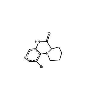 O=C1Nc2cncc(Br)c2N2CCCCC12